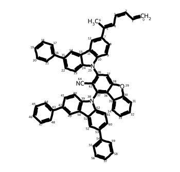 C=C/C=C\C=C(/C)c1ccc2c(c1)c1cc(-c3ccccc3)ccc1n2-c1cc2oc3ccccc3c2c(-n2c3ccc(-c4ccccc4)cc3c3cc(-c4ccccc4)ccc32)c1C#N